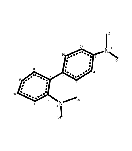 CN(C)c1ccc(-c2ccccc2N(C)C)cc1